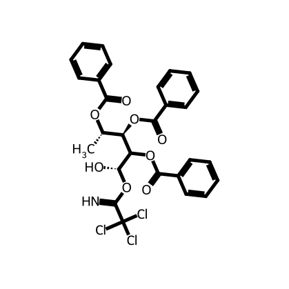 C[C@H](OC(=O)c1ccccc1)[C@@H](OC(=O)c1ccccc1)C(OC(=O)c1ccccc1)[C@@H](O)OC(=N)C(Cl)(Cl)Cl